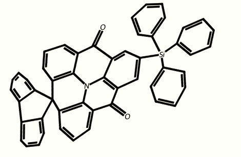 O=c1c2cccc3c2n2c4c(cccc4c(=O)c4cc([Si](c5ccccc5)(c5ccccc5)c5ccccc5)cc1c42)C31c2ccccc2-c2ccccc21